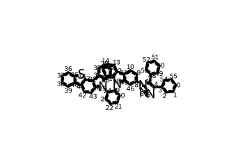 c1ccc(-c2nnn(-c3ccc4c5ccccc5n(-c5ccccc5-n5c6ccccc6c6c7sc8ccccc8c7ccc65)c4c3)c2-c2ccccc2)cc1